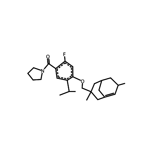 CC1C=C2CC(C1)CC(C)(COc1cc(F)c(C(=O)N3CCCC3)cc1C(C)C)C2